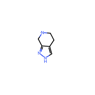 c1[nH]nc2c1CC[N]C2